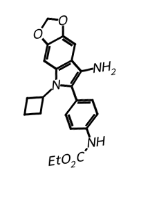 CCOC(=O)Nc1ccc(-c2c(N)c3cc4c(cc3n2C2CCC2)OCO4)cc1